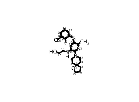 Cc1nc(N2CCC3(CCCO3)CC2)c(NCCO)nc1Sc1cccc(Cl)c1Cl